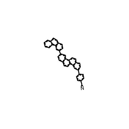 N#Cc1ccc(-c2ccc3ccc4c5cc(-c6ccc7ccc8ccccc8c7c6)ccc5ccc4c3c2)cc1